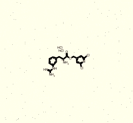 Cl.Cl.N=C(N)Nc1cccc(C[C@H](N)C(=O)OCc2cc(Cl)nc(Cl)c2)c1